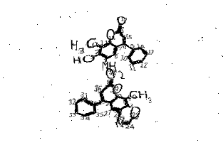 Cc1c(O)c(N)cc2c(-c3ccccc3)cc(=O)oc12.Cc1c2ocnc2cc2c(-c3ccccc3)cc(=O)oc12